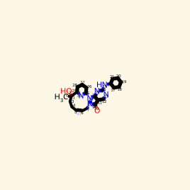 CC1(O)CC/C=C\Cn2c(=O)c3cnc(Nc4ccccc4)nc3n2-c2cccc1n2